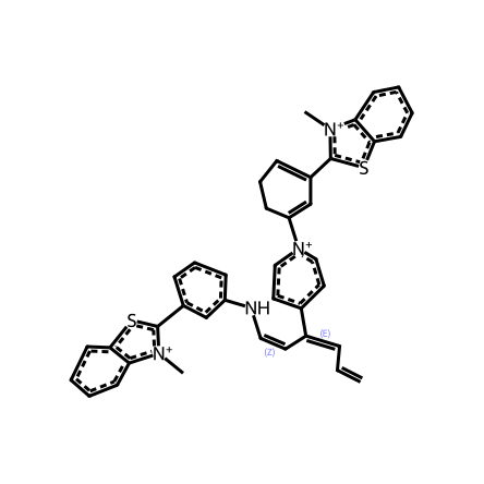 C=C/C=C(\C=C/Nc1cccc(-c2sc3ccccc3[n+]2C)c1)c1cc[n+](C2=CC(c3sc4ccccc4[n+]3C)=CCC2)cc1